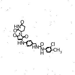 Cc1ccc(NC(=O)NCc2ccc(NC3=CC(=O)N(C4CCC(=O)NC4=O)C3=O)cc2)cc1Cl